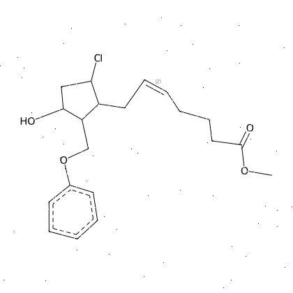 COC(=O)CCC/C=C\CC1C(Cl)CC(O)C1COc1ccccc1